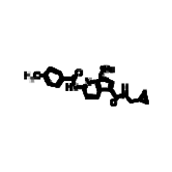 Cc1ccc(C(=O)Nc2ccc3c(C(=O)NCC4CC4)cn(C(C)(C)C)c3n2)cc1